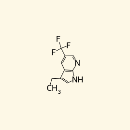 CCc1c[nH]c2ncc(C(F)(F)F)cc12